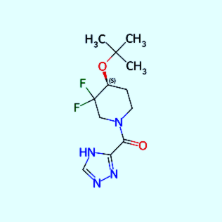 CC(C)(C)O[C@H]1CCN(C(=O)c2nnc[nH]2)CC1(F)F